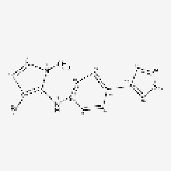 Cn1ncc(Br)c1Nc1ccc(-c2ccsc2)cc1